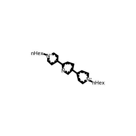 CCCCCC[n+]1ccc(-c2ccc(-c3cc[n+](CCCCCC)cc3)nc2)cc1